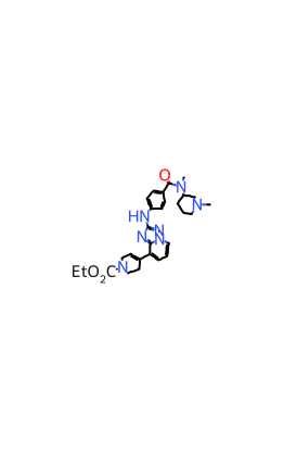 CCOC(=O)N1CC=C(c2cccn3nc(Nc4ccc(C(=O)N(C)C5CCCN(C)C5)cc4)nc23)CC1